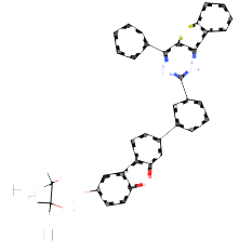 CC1(C)OB(c2ccc3oc4cc(-c5cccc(-c6nc(-c7ccccc7)c7sc8ccccc8c7n6)c5)ccc4c3c2)OC1(C)C